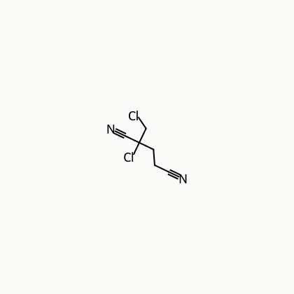 N#CCCC(Cl)(C#N)CCl